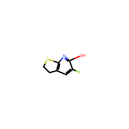 Oc1nc2c(cc1F)CCS2